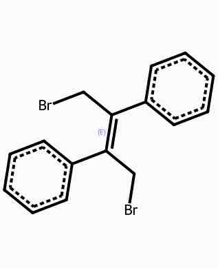 BrC/C(=C(/CBr)c1ccccc1)c1ccccc1